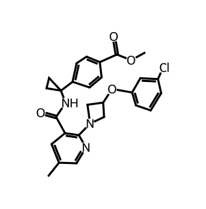 COC(=O)c1ccc(C2(NC(=O)c3cc(C)cnc3N3CC(Oc4cccc(Cl)c4)C3)CC2)cc1